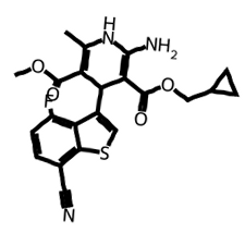 COC(=O)C1=C(C)NC(N)=C(C(=O)OCC2CC2)C1c1csc2c(C#N)ccc(F)c12